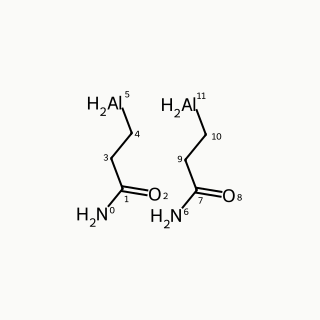 NC(=O)C[CH2][AlH2].NC(=O)C[CH2][AlH2]